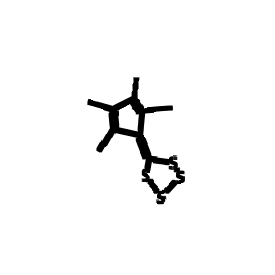 CC1=C(C)C(=C2SSSS2)C(C)=C1C